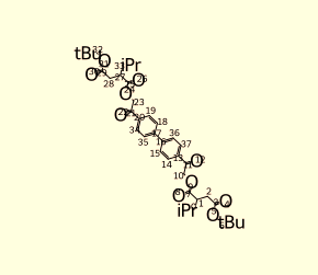 CC(C)C(CC(=O)OC(C)(C)C)C(=O)OCC(=O)c1ccc(-c2ccc(C(=O)COC(=O)C(CC(=O)OC(C)(C)C)C(C)C)cc2)cc1